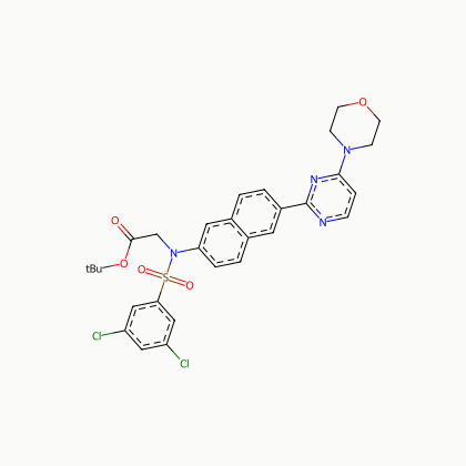 CC(C)(C)OC(=O)CN(c1ccc2cc(-c3nccc(N4CCOCC4)n3)ccc2c1)S(=O)(=O)c1cc(Cl)cc(Cl)c1